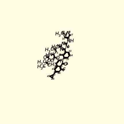 CC(C)C[C@H](NC(=O)OC(C)(C)C)C(=O)OCc1c(-c2nc(N)nc(Nc3cnn(C)c3)n2)cccc1-n1ccc2cc(C3CC3)cc(F)c2c1=O